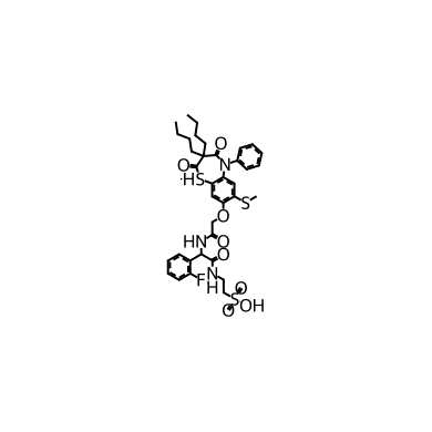 CCCCC1(CCCC)C(=O)[SH]c2cc(OCC(=O)NC(C(=O)NCCS(=O)(=O)O)c3ccccc3F)c(SC)cc2N(c2ccccc2)C1=O